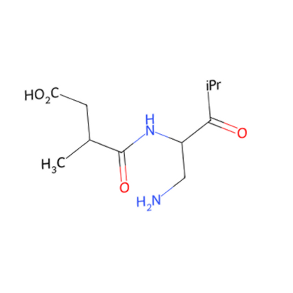 CC(C)C(=O)C(CN)NC(=O)C(C)CC(=O)O